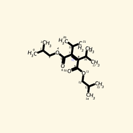 CC(C)COC(=O)/C(=C(\C(=O)OCC(C)C)C(C)C)C(C)C